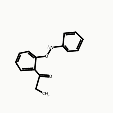 CCC(=O)c1ccccc1ONc1ccccc1